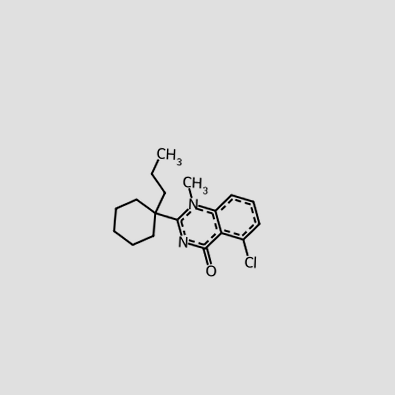 CCCC1(c2nc(=O)c3c(Cl)cccc3n2C)CCCCC1